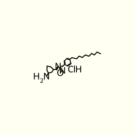 CCCCCCCCCCc1ccc(-c2noc(C3CCCC(N)C3)n2)cc1.Cl